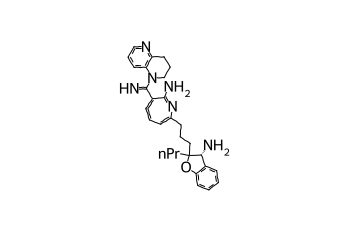 CCCC1(CCCC2=CC=C=C(C(=N)N3CCCc4ncccc43)C(N)=N2)Oc2ccccc2[C@H]1N